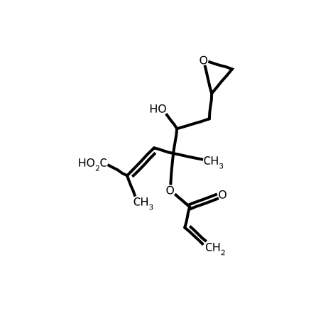 C=CC(=O)OC(C)(C=C(C)C(=O)O)C(O)CC1CO1